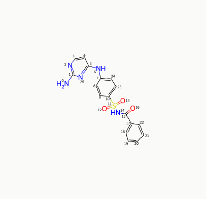 Nc1nccc(Nc2ccc(S(=O)(=O)NC(=O)c3ccccc3)cc2)n1